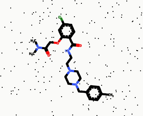 Cc1ccc(CN2CCN(CCNC(=O)c3ccc(Cl)cc3OCC(=O)N(C)C)CC2)cc1